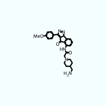 COc1ccc(C2=C3C(=O)c4c(NC(=O)CN5CCC(CN)CC5)cccc4C3N=N2)cc1